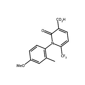 COc1ccc(-n2c(C(F)(F)F)ccc(C(=O)O)c2=O)c(C)c1